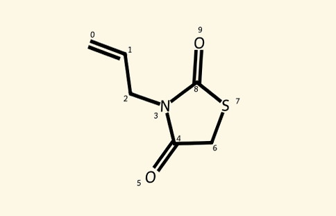 C=CCN1C(=O)CSC1=O